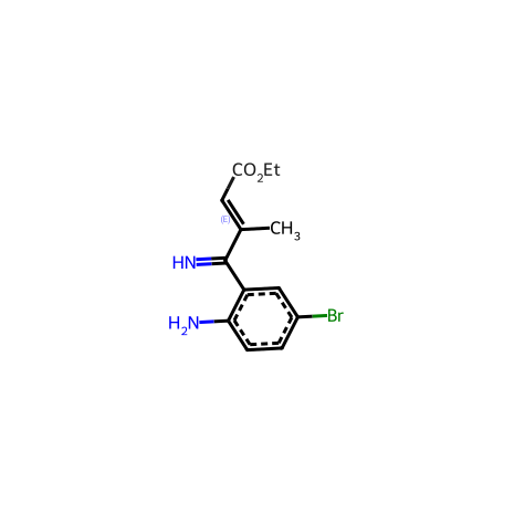 CCOC(=O)/C=C(\C)C(=N)c1cc(Br)ccc1N